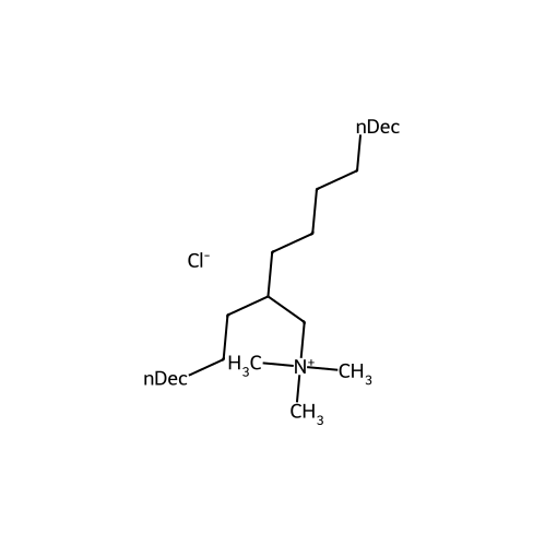 CCCCCCCCCCCCCCC(CCCCCCCCCCCC)C[N+](C)(C)C.[Cl-]